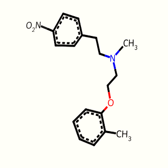 Cc1ccccc1OCCN(C)CCc1ccc([N+](=O)[O-])cc1